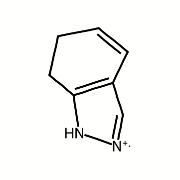 C1=CC2=C(CC1)N[N+]=C2